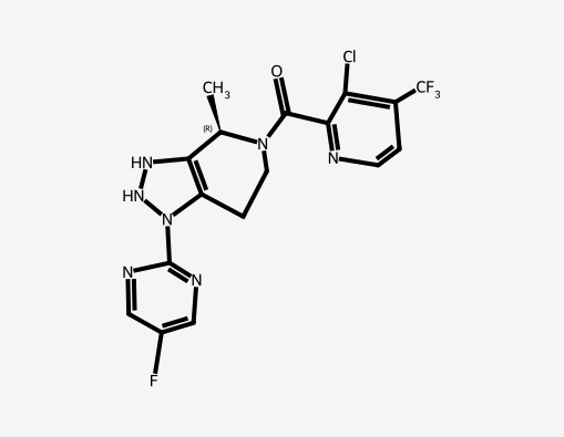 C[C@@H]1C2=C(CCN1C(=O)c1nccc(C(F)(F)F)c1Cl)N(c1ncc(F)cn1)NN2